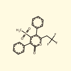 CS(=O)(=O)c1c(-c2ccccc2)c(CC(F)(F)F)oc(=O)c1-c1ccccc1